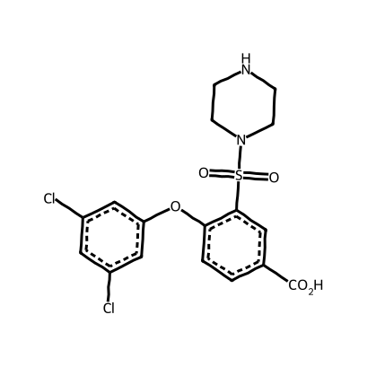 O=C(O)c1ccc(Oc2cc(Cl)cc(Cl)c2)c(S(=O)(=O)N2CCNCC2)c1